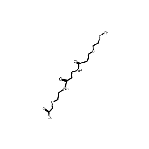 CCC(=O)COCCNC(=O)CCNC(=O)CCOCCOC(C)C